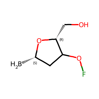 B[C@H]1CC(OF)[C@@H](CO)O1